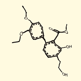 CCOc1ccc(-c2ccc(CCO)c(O)c2C(=O)OC)cc1OCC